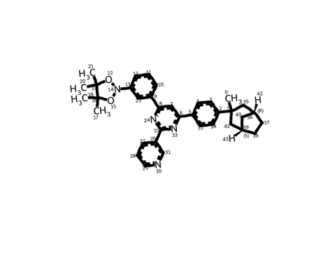 CC1(c2ccc(-c3cc(-c4cccc(N5OC(C)(C)C(C)(C)O5)c4)nc(-c4cccnc4)n3)cc2)C[C@@H]2CC[C@@H](C2)C1